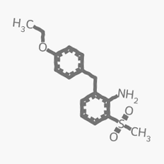 CCOc1ccc(Cc2cccc(S(C)(=O)=O)c2N)cc1